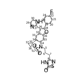 CS(=O)(=O)N(CCCc1nsc(=O)[nH]1)c1cc2oc(-c3ccc(F)cc3)c(-c3ncc[nH]3)c2cc1C1CC1